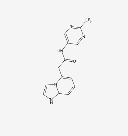 O=C(CC1=CC=CC2NC=CN12)Nc1cnc(C(F)(F)F)nc1